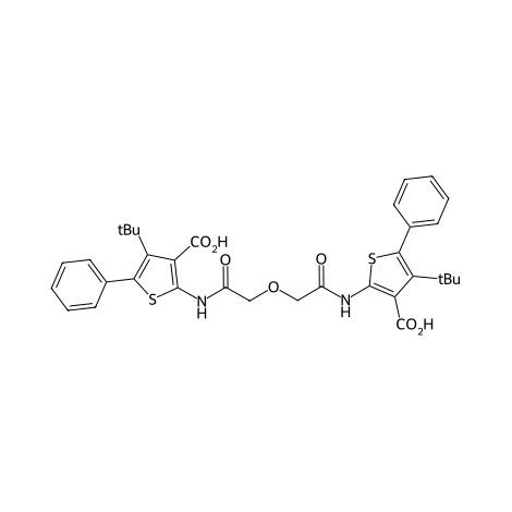 CC(C)(C)c1c(-c2ccccc2)sc(NC(=O)COCC(=O)Nc2sc(-c3ccccc3)c(C(C)(C)C)c2C(=O)O)c1C(=O)O